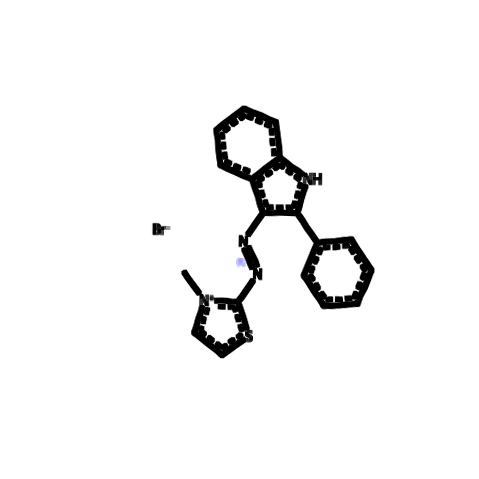 C[n+]1ccsc1/N=N/c1c(-c2ccccc2)[nH]c2ccccc12.[Br-]